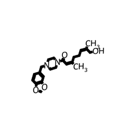 CC(=CCCC(C)=CC(=O)N1CCN(Cc2ccc3c(c2)OCO3)CC1)CO